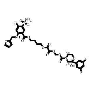 C[C@@H]1CO[C@@](O)(c2cc(F)cc(F)c2)[C@H](C)N1C(=O)OCOC(=O)C(=O)OCCCCOC(=O)c1cc(S(N)(=O)=O)c(Cl)cc1NCc1ccco1